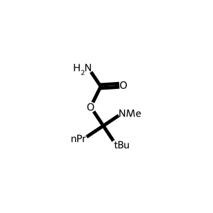 CCCC(NC)(OC(N)=O)C(C)(C)C